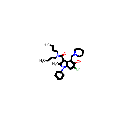 CCCCN(CCCC)C(=O)c1c(C)n(-c2ccccc2)c2cc(Br)c(O)c(CN3CCCCC3)c12